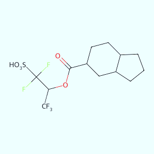 O=C(OC(C(F)(F)F)C(F)(F)S(=O)(=O)O)C1CCC2CCCC2C1